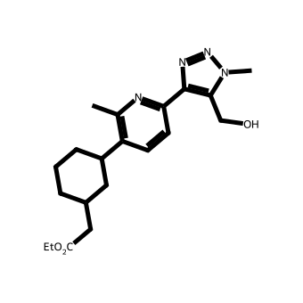 CCOC(=O)CC1CCCC(c2ccc(-c3nnn(C)c3CO)nc2C)C1